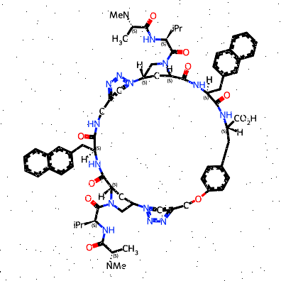 CN[C@@H](C)C(=O)N[C@H](C(=O)N1CC2C[C@H]1C(=O)N[C@@H](Cc1ccc3ccccc3c1)C(=O)NCc1cn(nn1)[C@H]1C[C@@H](C(=O)N[C@@H](Cc3ccc4ccccc4c3)C(=O)N[C@H](C(=O)O)Cc3ccc(cc3)OCc3cn2nn3)N(C(=O)[C@@H](NC(=O)[C@H](C)NC)C(C)C)C1)C(C)C